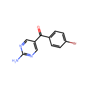 Nc1ncc(C(=O)c2ccc(Br)cc2)cn1